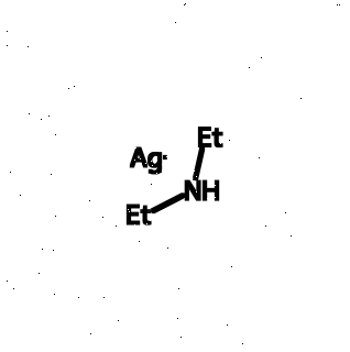 CCNCC.[Ag]